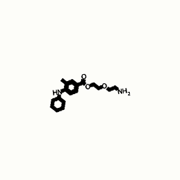 Cc1cc(C(=O)OCCOCCN)ccc1NC1CCCCC1